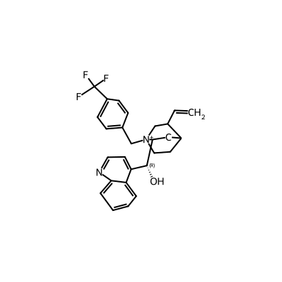 C=CC1C[N+]2(Cc3ccc(C(F)(F)F)cc3)CCC1CC2[C@H](O)c1ccnc2ccccc12